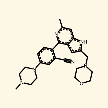 Cc1cc2[nH]c(CN3CCOCC3)cc2c(-c2ccc(N3CCN(C)CC3)cc2C#N)n1